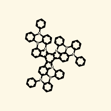 c1ccc(N2c3ccccc3B3c4c2cccc4-n2c4c3cccc4c3c4c5ccc6c7c5n(c4c4c5ccc8c9c5n(c4c32)-c2ccccc2B9c2ccccc2N8c2ccccc2)-c2ccccc2B7c2ccccc2N6c2ccccc2)cc1